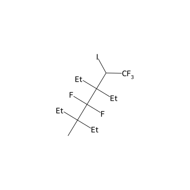 CCC(C)(CC)C(F)(F)C(CC)(CC)C(I)C(F)(F)F